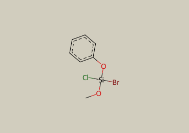 CO[Si](Cl)(Br)Oc1ccccc1